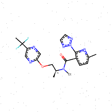 CCN(C(=O)c1ccc(C)nc1-n1nccn1)[C@@H](C)COc1cnc(C(C)(F)F)cn1